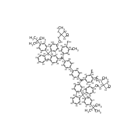 CCC1(COc2ccc(C3(c4ccc(C(C)(C)C)cc4)c4ccccc4-c4ccc(N(c5ccc(-c6ccc(N(c7ccc(C)c(F)c7)c7ccc8c(c7)C(c7ccc(OCC9(CC)COC9)cc7)(c7ccc(C(C)(C)C)cc7)c7ccccc7-8)cc6)cc5)c5ccc(F)c(C)c5)cc43)cc2)COC1